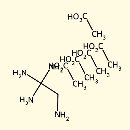 CC(=O)O.CC(=O)O.CC(=O)O.CC(=O)O.CC(=O)O.NCC(N)(N)N